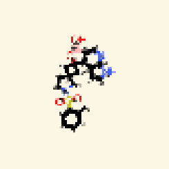 Cc1ccccc1S(=O)(=O)N1CCC2(C1)CC1(C2)OB(O)c2cnc3[nH]ccc3c21